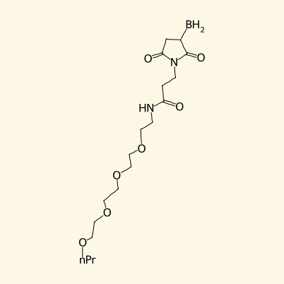 BC1CC(=O)N(CCC(=O)NCCOCCOCCOCCOCCC)C1=O